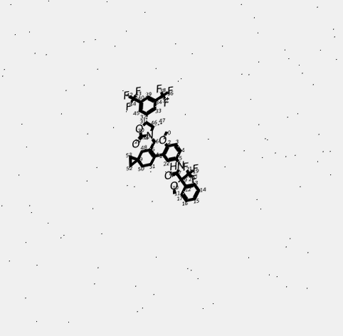 COc1ccc(NC(=O)[C@](OC)(c2ccccc2)C(F)(F)F)cc1C1=C(CN2C(=O)O[C@H](c3cc(C(F)(F)F)cc(C(F)(F)F)c3)[C@@H]2C)CC2(CC1)CC2